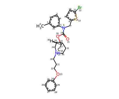 Cc1cccc(N(Cc2ccc(Br)s2)C(=O)O[C@H]2C[N+]3(CCCOc4ccccc4)CCC2CC3)c1